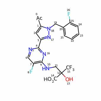 CC(=O)c1cc(-c2ncc(F)c(NCC(O)(C(=O)O)C(F)(F)F)n2)nn1Cc1ccccc1F